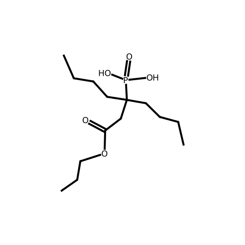 CCCCC(CCCC)(CC(=O)OCCC)P(=O)(O)O